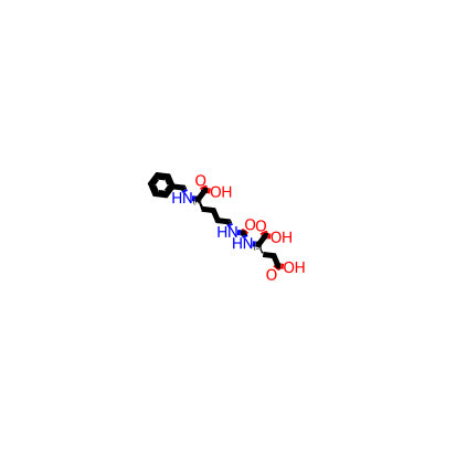 O=C(O)CC[C@H](NC(=O)NCCCC[C@@H](NCc1ccccc1)C(=O)O)C(=O)O